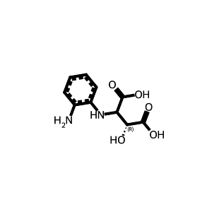 Nc1ccccc1NC(C(=O)O)[C@@H](O)C(=O)O